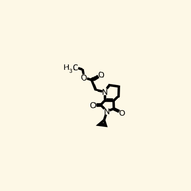 CCOC(=O)CN1CCCC2=C1C(=O)N(C1C=C1)C2=O